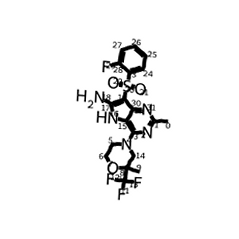 Cc1nc(N2CCOC(C)(C(F)(F)F)C2)c2[nH]c(N)c(S(=O)(=O)c3ccccc3F)c2n1